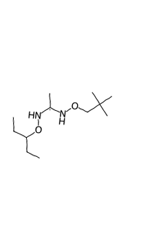 CCC(CC)ON[C](C)NOCC(C)(C)C